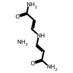 N.NC(=O)C=CNC=CC(N)=O